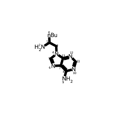 CCCCC(N)Cn1cnc2c(N)ncnc21